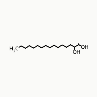 [CH2]CCCCCCCCCCCCCC(O)[CH]O